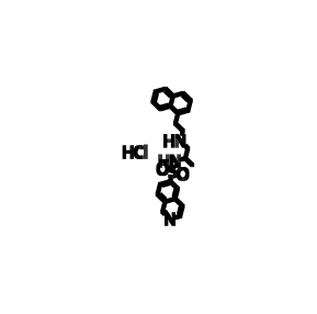 CC(CNCCc1cccc2ccccc12)NS(=O)(=O)c1ccc2cnccc2c1.Cl